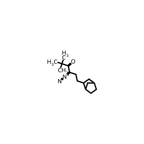 CC(C)(C)C(=O)C(CCC1CC2CCC1C2)=[N+]=[N-]